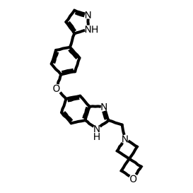 c1cc(-c2ccc(Oc3ccc4[nH]c(CN5CC6(COC6)C5)nc4c3)cc2)[nH]n1